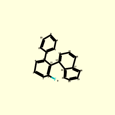 Fc1cccc(-c2ccccc2)c1-c1cccc2ccccc12